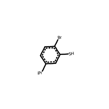 CC(C)c1ccc(Br)c(S)c1